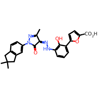 CC1=NN(c2ccc3c(c2)CC(C)(C)C3)C(=O)C1=NNc1cccc(-c2ccc(C(=O)O)o2)c1O